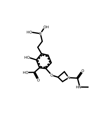 CNC(=O)N1CC(Oc2ccc(CCB(O)O)c(O)c2C(=O)O)C1